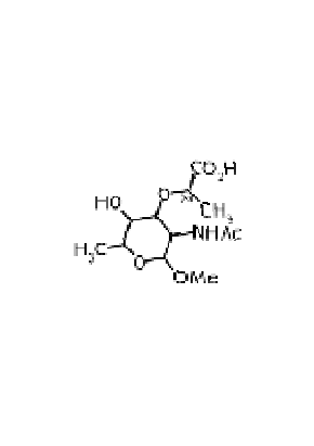 COC1OC(C)C(O)C(O[C@H](C)C(=O)O)C1NC(C)=O